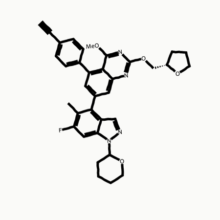 C#Cc1ccc(-c2cc(-c3c(C)c(F)cc4c3cnn4C3CCCCO3)cc3nc(OC[C@@H]4CCCO4)nc(OC)c23)cc1